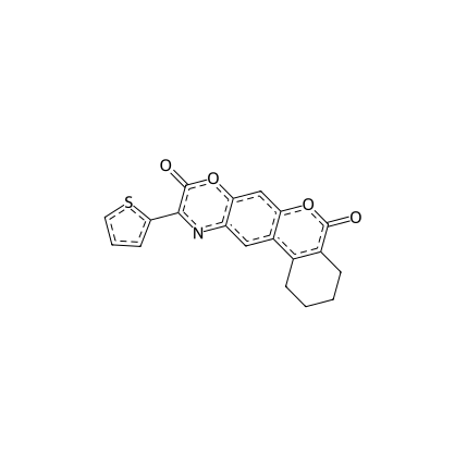 O=c1oc2cc3oc(=O)c4c(c3cc2nc1-c1cccs1)CCCC4